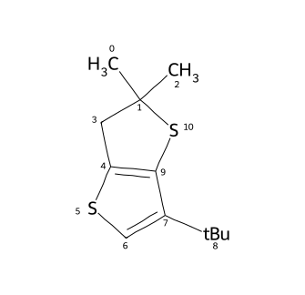 CC1(C)Cc2scc(C(C)(C)C)c2S1